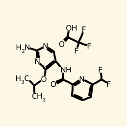 CC(C)Oc1nc(N)ncc1NC(=O)c1cccc(C(F)F)n1.O=C(O)C(F)(F)F